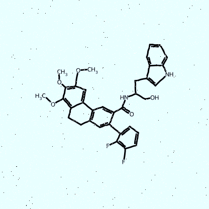 COc1cc2c(c(OC)c1OC)CCc1cc(-c3cccc(F)c3F)c(C(=O)NC(CO)Cc3c[nH]c4ccccc34)cc1-2